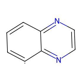 [c]1cccc2nccnc12